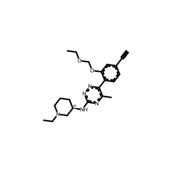 C#Cc1ccc(-c2nnc(N[C@@H]3CCCN(CC)C3)nc2C)c(OCOCC)c1